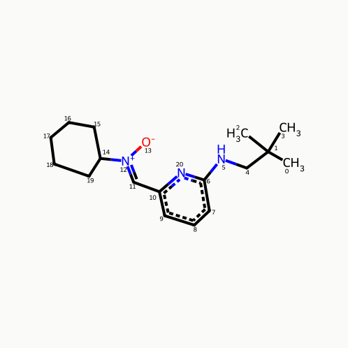 CC(C)(C)CNc1cccc(C=[N+]([O-])C2CCCCC2)n1